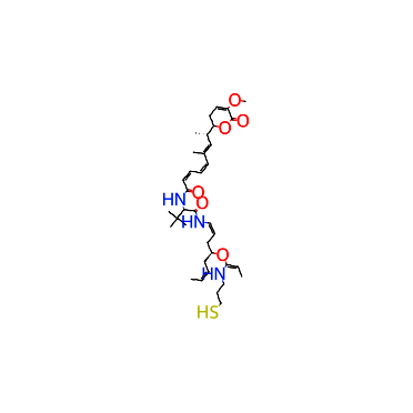 CC=C(NCCCS)O[C@@H](C/C=C\C)C/C=C\NC(=O)[C@@H](NC(=O)\C=C/C=C\C(C)=C\[C@H](C)C1CC=C(OC)C(=O)O1)C(C)(C)C